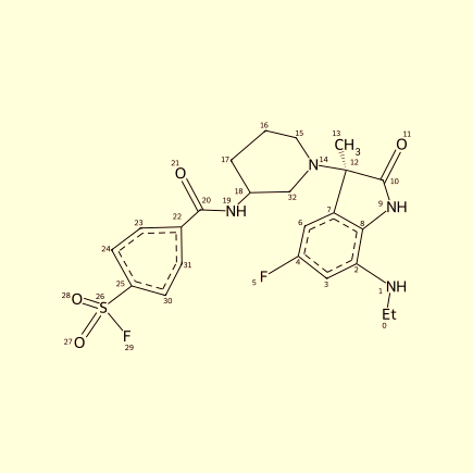 CCNc1cc(F)cc2c1NC(=O)[C@]2(C)N1CCCC(NC(=O)c2ccc(S(=O)(=O)F)cc2)C1